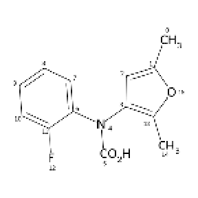 Cc1cc(N(C(=O)O)c2ccccc2F)c(C)o1